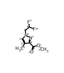 COC(=O)c1nn(CC(F)F)cc1C